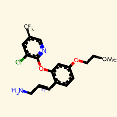 COCCOc1ccc(/C=C/CN)c(Oc2ncc(C(F)(F)F)cc2Cl)c1